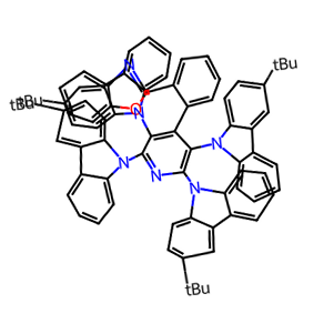 CC(C)(C)c1ccc2c(c1)c1ccccc1n2-c1nc(-n2c3ccccc3c3cc(C(C)(C)C)ccc32)c(-n2c3ccccc3c3cc(C(C)(C)C)ccc32)c(-c2ccccc2-c2nc3ccccc3o2)c1-n1c2ccccc2c2cc(C(C)(C)C)ccc21